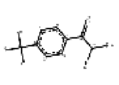 CC(C)(C)c1ccc(C(=O)[C](F)F)cc1